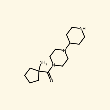 NC1(C(=O)N2CCN(C3CCNCC3)CC2)CCCC1